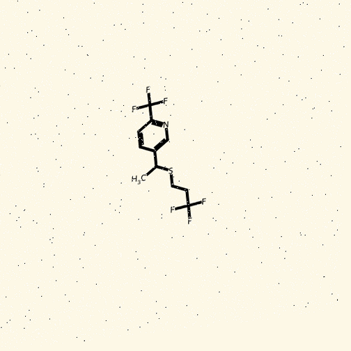 CC(SCCC(F)(F)F)c1ccc(C(F)(F)F)nc1